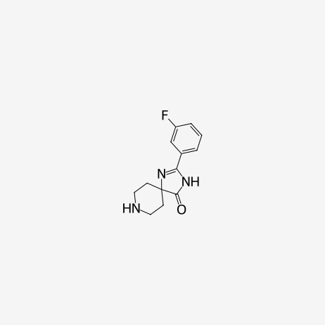 O=C1NC(c2cccc(F)c2)=NC12CCNCC2